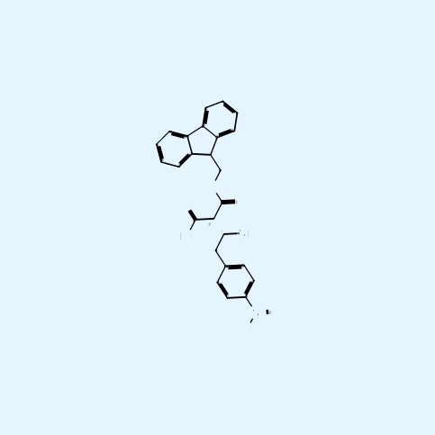 NC(Cc1ccc([N+](=O)[O-])cc1)[C@H](C(=O)O)C(=O)OCC1c2ccccc2-c2ccccc21